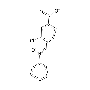 O=[N+]([O-])c1ccc(C=[N+]([O-])c2ccccc2)c(Cl)c1